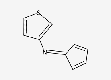 C1=CC(=Nc2ccsc2)C=C1